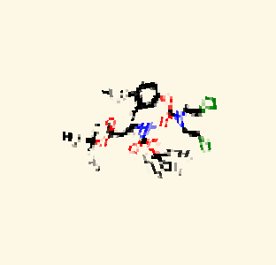 Cc1ccc(OC(=O)N(CCCl)CCCl)cc1C[C@@H](CC(=O)OC(C)(C)C)NC(=O)OC(C)(C)C